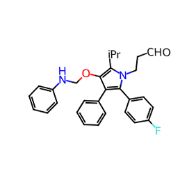 CC(C)c1c(OCNc2ccccc2)c(-c2ccccc2)c(-c2ccc(F)cc2)n1CCC=O